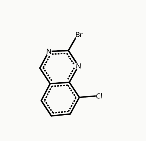 Clc1cccc2cnc(Br)nc12